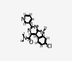 CN(C)C(=O)c1nc(-c2cccnc2)nc2c1c1ccc(Cl)cc1n2C